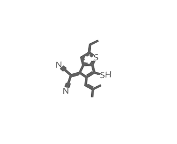 CCc1cc2c(s1)C(S)=C(C=C(C)C)C2=C(C#N)C#N